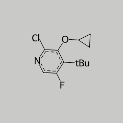 CC(C)(C)c1c(F)cnc(Cl)c1OC1CC1